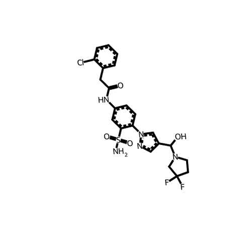 NS(=O)(=O)c1cc(NC(=O)Cc2ccccc2Cl)ccc1-n1cc(C(O)N2CCC(F)(F)C2)cn1